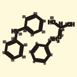 Nc1ccccc1.O=[PH](O)O.c1ccc(Nc2ccccc2)cc1